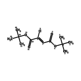 CC(C)(C)OC(=O)/C=C(\Cl)C(=O)OC(C)(C)C